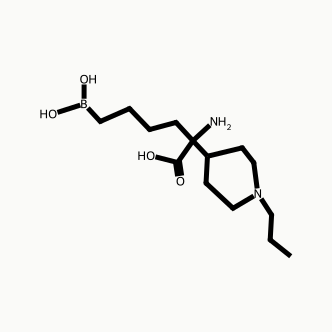 CCCN1CCC(C(N)(CCCCB(O)O)C(=O)O)CC1